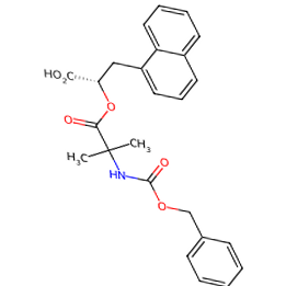 CC(C)(NC(=O)OCc1ccccc1)C(=O)O[C@@H](Cc1cccc2ccccc12)C(=O)O